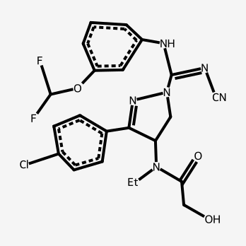 CCN(C(=O)CO)C1CN(C(=NC#N)Nc2cccc(OC(F)F)c2)N=C1c1ccc(Cl)cc1